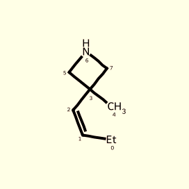 CC/C=C\C1(C)CNC1